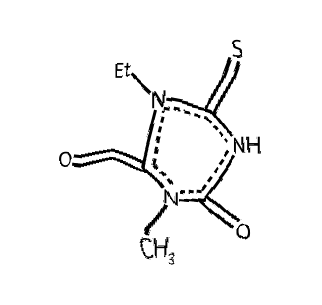 CCn1c(=S)[nH]c(=O)n(C)c1=O